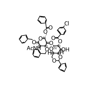 CC(=O)N[C@H]1[C@@H](OCc2ccccc2)O[C@H](COC(=O)c2ccccc2)[C@@H](O[C@@H]2O[C@@H]3COC(c4ccccc4)O[C@@H]3[C@H](O)[C@H]2OC(=O)c2ccc(Cl)cc2)[C@@H]1OCc1ccccc1